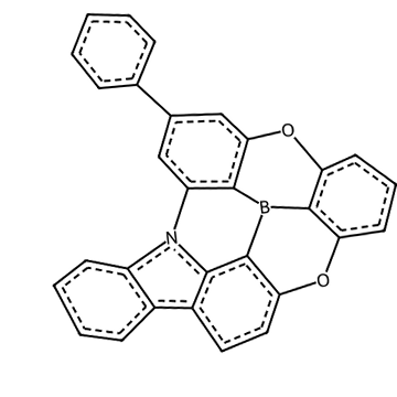 c1ccc(-c2cc3c4c(c2)-n2c5ccccc5c5ccc6c(c52)B4c2c(cccc2O6)O3)cc1